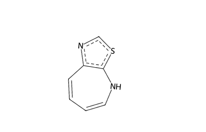 C1=CNc2scnc2C=C1